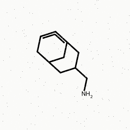 NCC1CC2=C=CCC(C2)C1